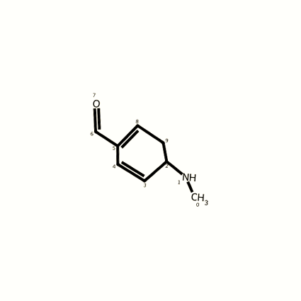 CNC1C=CC(C=O)=CC1